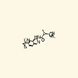 CC1C(C(=O)Nc2cc3cc([C@@]4(C#N)CC45CC5)ccc3cn2)C1c1cnn(C)c1